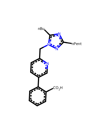 CCCCCc1nc(CCCC)n(Cc2ccc(-c3ccccc3C(=O)O)cn2)n1